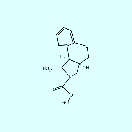 CC(C)(C)OC(=O)N1C[C@@H]2COc3ccccc3[C@@H]2[C@H]1C(=O)O